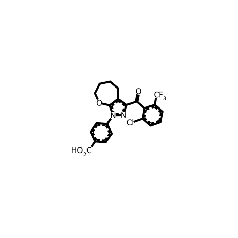 O=C(O)c1ccc(-n2nc(C(=O)c3c(Cl)cccc3C(F)(F)F)c3c2OCCCC3)cc1